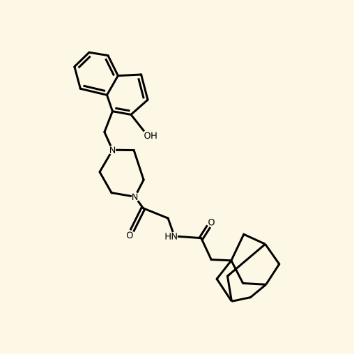 O=C(CC12CC3CC(CC(C3)C1)C2)NCC(=O)N1CCN(Cc2c(O)ccc3ccccc23)CC1